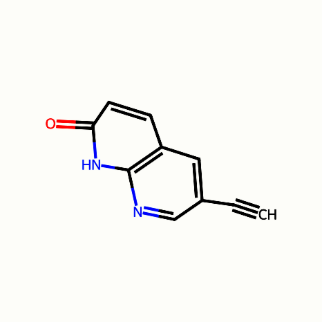 C#Cc1cnc2[nH]c(=O)ccc2c1